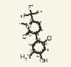 Cn1c(C(F)(F)F)ccc(-c2cc(N)c(O)cc2Cl)c1=O